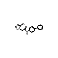 CC(C)c1nnnn1CC(=O)Nc1ccc(-c2ccccc2)cc1